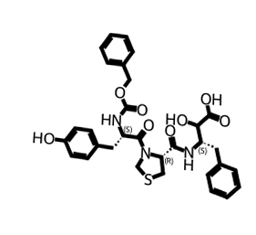 O=C(N[C@@H](Cc1ccc(O)cc1)C(=O)N1CSC[C@H]1C(=O)N[C@@H](Cc1ccccc1)C(O)C(=O)O)OCc1ccccc1